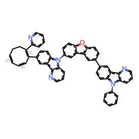 C1=C/CC\C(c2ccccn2)=C(c2ccc3c(c2)c2ncccc2n3-c2ccc3oc4ccc(-c5ccc6c(c5)c5ncccc5n6-c5ccccc5)cc4c3c2)/C=C\1